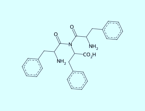 NC(Cc1ccccc1)C(=O)N(C(=O)C(N)Cc1ccccc1)C(Cc1ccccc1)C(=O)O